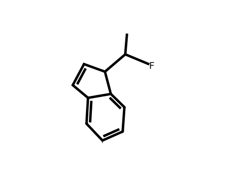 CC(F)C1C=Cc2c[c]ccc21